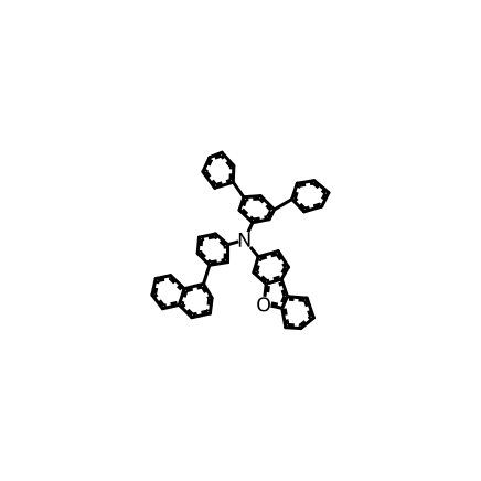 c1ccc(-c2cc(-c3ccccc3)cc(N(c3cccc(-c4cccc5ccccc45)c3)c3ccc4c(c3)oc3ccccc34)c2)cc1